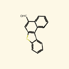 O=Cc1cc2sc3ccccc3c2c2ccccc12